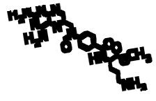 COC(=O)[C@H](CCCN)NC(=O)c1ccc(N(C=O)Cc2cnc3nc(N)nc(N)c3n2)cc1